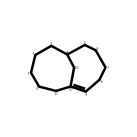 [CH]1CCCC2CCCC/C=C(/C1)C2